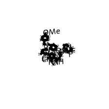 COc1ccc(CN(Cc2ccc(OC)cc2)c2cc(C)c(C(F)(F)F)c(-c3cc4c5c(c3Cl)=NCNC=5N(C)C=C(OC[C@@]35CCCN3CC(F)(F)C5)O4)n2)cc1